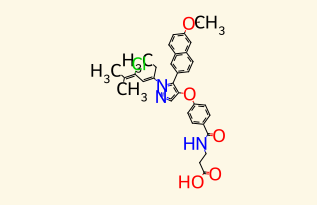 CC/C(=C\C(Cl)=C(C)C)n1ncc(Oc2ccc(C(=O)NCCC(=O)O)cc2)c1-c1ccc2cc(OC)ccc2c1